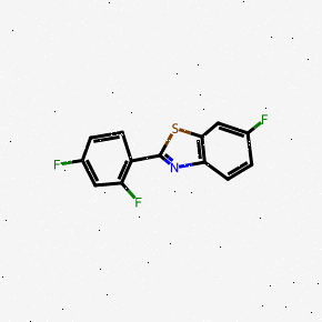 Fc1ccc(-c2nc3ccc(F)cc3s2)c(F)c1